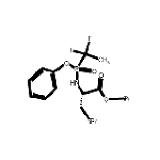 CC(C)C[C@H](NP(=O)(Oc1ccccc1)C(C)(F)F)C(=O)OC(C)C